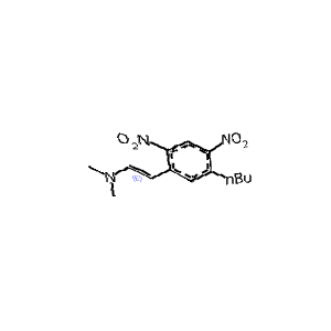 CCCCc1cc(/C=C/N(C)C)c([N+](=O)[O-])cc1[N+](=O)[O-]